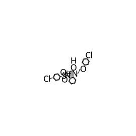 O=S(=O)(c1ccc(Cl)cc1)N(CCO)c1ccccc1NCCOc1ccc(Cl)cc1